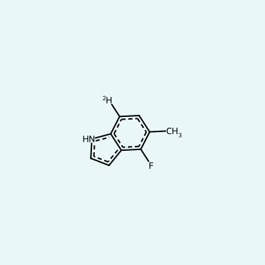 [2H]c1cc(C)c(F)c2cc[nH]c12